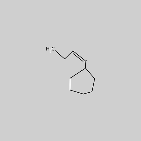 CC/C=[C]\C1CCCCC1